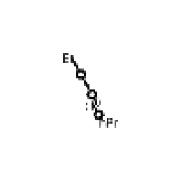 CCC#Cc1ccc(C#Cc2ccc(OC(=O)c3ccc(CCC)cc3)cc2)cc1